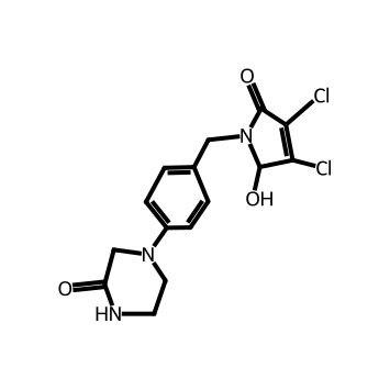 O=C1CN(c2ccc(CN3C(=O)C(Cl)=C(Cl)C3O)cc2)CCN1